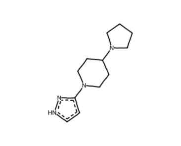 c1cc(N2CCC(N3CCCC3)CC2)n[nH]1